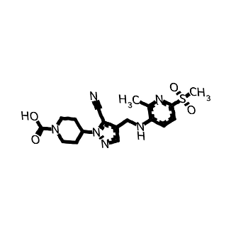 Cc1nc(S(C)(=O)=O)ccc1NCc1cnn(C2CCN(C(=O)O)CC2)c1C#N